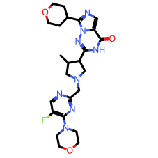 CC1CN(Cc2ncc(F)c(N3CCOCC3)n2)CC1c1nn2c(C3CCOCC3)ncc2c(=O)[nH]1